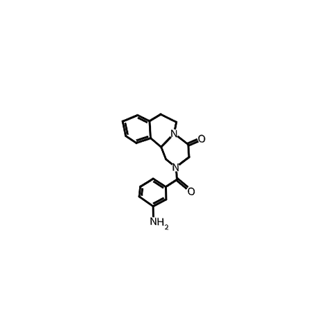 Nc1cccc(C(=O)N2CC(=O)N3CCc4ccccc4C3C2)c1